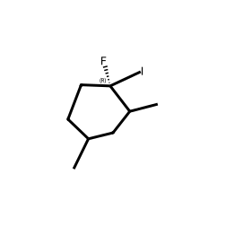 CC1CC[C@@](F)(I)C(C)C1